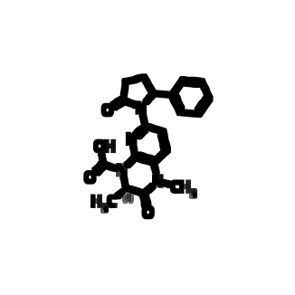 C[C@@H]1C(=O)N(C)c2ccc(N3C(=O)CCC3c3ccccc3)nc2N1C(=O)O